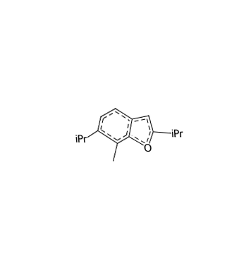 Cc1c(C(C)C)ccc2cc(C(C)C)oc12